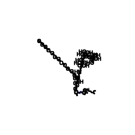 C=C1CC[C@H](OCCOC(=O)NCCN(CCCNCCCC(=O)[C@H](O)[C@@H](O)[C@H](O)[C@H](O)CO[C@H]2O[C@H](CO[C@H]3O[C@H](CO)[C@@H](O)[C@H](O)[C@H]3O)[C@@H](O)[C@H](O)[C@H]2O)C(=O)COCCOCCOCCOCCOCCOCCOCCOCCOCCOCCOCCOC)C/C1=C\C=C1/CCC[C@@]2(CC)C1CC[C@@H]2[C@H](C)CCCC(C)CC